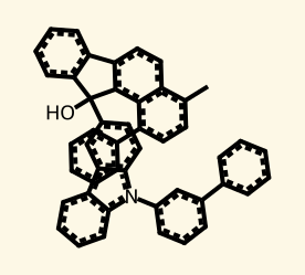 Cc1ccc(-c2ccccc2)c2c3c(ccc12)-c1ccccc1C3(O)c1ccc2c(c1)c1ccccc1n2-c1cccc(-c2ccccc2)c1